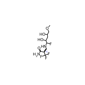 COCC(O)CC(O)C(F)N/C=C(\C(N)=O)C(F)(F)F